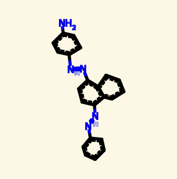 Nc1ccc(/N=N/c2ccc(/N=N/c3ccccc3)c3ccccc23)cc1